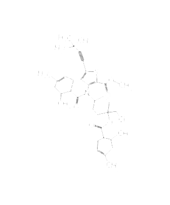 COC(=O)c1sc(C#CC(C)(C)C)cc1N(C(=O)C1CC=C(C)CC1C)C1CCC(CCl)(OC(=O)C2CC=C(C)CC2C)CC1